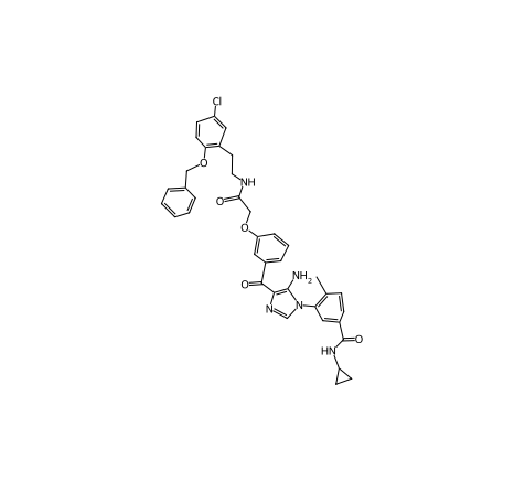 Cc1ccc(C(=O)NC2CC2)cc1-n1cnc(C(=O)c2cccc(OCC(=O)NCCc3cc(Cl)ccc3OCc3ccccc3)c2)c1N